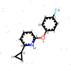 Fc1ccc(Oc2cccc(C3CC3)n2)cc1